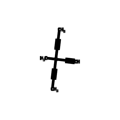 C#C[Si](C)(C#CC)C#CC